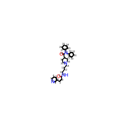 O=C(/C=C\c1cccnc1)NCCCCN1CCC(C(=O)N(c2ccccc2)c2ccccc2)CC1